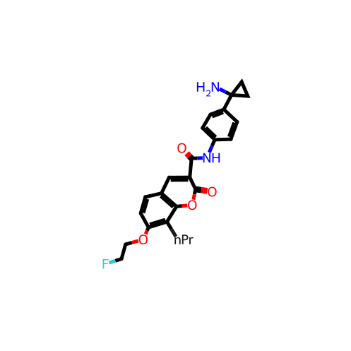 CCCc1c(OCCF)ccc2cc(C(=O)Nc3ccc(C4(N)CC4)cc3)c(=O)oc12